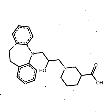 O=C(O)C1CCCN(CC(O)CN2c3ccccc3CCc3ccccc32)C1